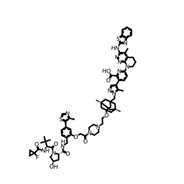 Cc1ncsc1-c1ccc(CNC(=O)[C@@H]2C[C@@H](O)CN2C(=O)[C@@H](NC(=O)C2(F)CC2)C(C)(C)C)c(OCC(=O)N2CCN(CCOC34CC5(Cn6ncc(-c7ccc(N8CCCc9c8nnc(Nc8nc%10ccccc%10s8)c9C)nc7C(=O)O)c6C)C[C@@](C)(C3)C[C@](C)(C5)C4)CC2)c1